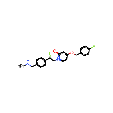 CCCNCc1ccc(C(F)Cn2ccc(OCc3ccc(F)cc3)cc2=O)cc1